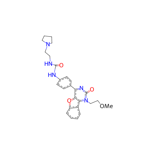 COCCn1c(=O)nc(-c2ccc(NC(=O)NCCN3CCCC3)cc2)c2oc3ccccc3c21